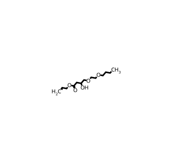 C=CCOC(=O)CC(O)COCCOCCCC